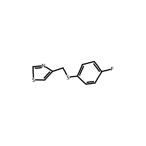 Fc1ccc(SCc2cscn2)cc1